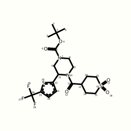 CC(C)(C)OC(=O)N1CCN(C(=O)C2CCS(=O)(=O)CC2)C(c2ccc(C(F)(F)F)s2)C1